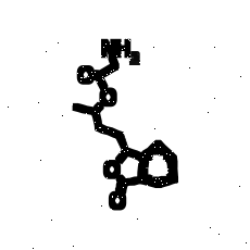 CC(CC[C@@H]1OC(=O)c2ccccc21)OC(=O)CN